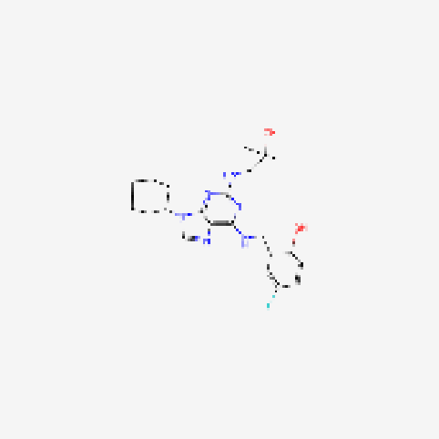 CC(C)(O)CNc1nc(NCc2cc(F)ccc2O)c2ncn(C3CCCCC3)c2n1